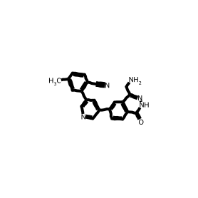 Cc1ccc(C#N)c(-c2cncc(-c3ccc4c(=O)[nH]nc(CN)c4c3)c2)c1